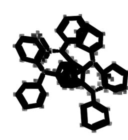 CN(C)[C@H](c1ccccc1)[C]12[CH]3[CH]4[C]5([C@@H](c6ccccc6)N(C)C)[C]1(P(c1ccccc1)c1ccccc1)[Fe]34251678[CH]2[CH]1[CH]6[C]7(P(c1ccccc1)c1ccccc1)[CH]28